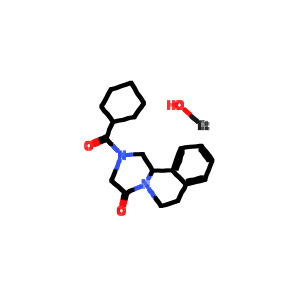 CCO.O=C(C1CCCCC1)N1CC(=O)N2CCc3ccccc3C2C1